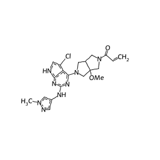 C=CC(=O)N1CC2CN(c3nc(Nc4cnn(C)c4)nc4[nH]cc(Cl)c34)CC2(OC)C1